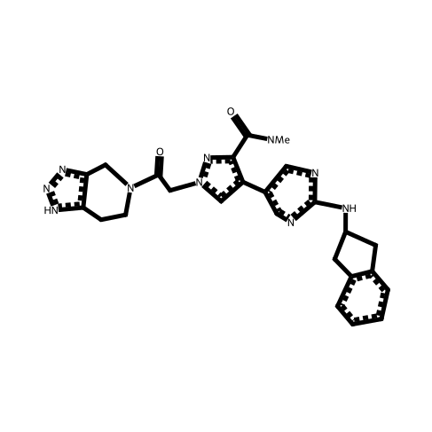 CNC(=O)c1nn(CC(=O)N2CCc3[nH]nnc3C2)cc1-c1cnc(NC2Cc3ccccc3C2)nc1